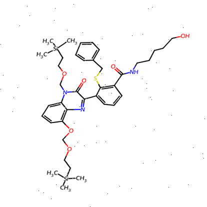 C[Si](C)(C)CCOCOc1cccc2c1nc(-c1cccc(C(=O)NCCCCCO)c1SCc1ccccc1)c(=O)n2COCC[Si](C)(C)C